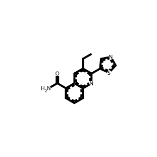 CCc1cc2c(C(N)=O)cccc2nc1-c1cncs1